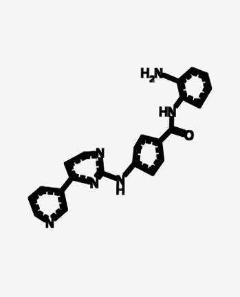 Nc1ccccc1NC(=O)c1ccc(Nc2nccc(-c3cccnc3)n2)cc1